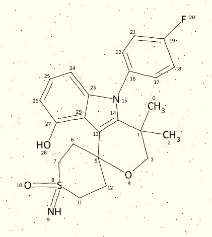 CC1(C)COC2(CCS(=N)(=O)CC2)c2c1n(-c1ccc(F)cc1)c1cccc(O)c21